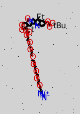 CCc1c2c(nc3ccc(OC(=O)OC(C)(C)C)cc13)-c1cc3c(c(=O)n1C2)COC(=O)[C@@]3(CC)OC(=O)OCCOCCOCCOCCOCCOCCOCCOCCN=[N+]=[N-]